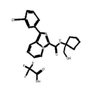 O=C(NC1(CO)CCCC1)c1nc(-c2cccc(Cl)c2)c2ccccn12.O=C(O)C(F)(F)F